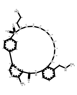 CNCc1cccc2c1OCCOCCOCCN(CCO)S(=O)(=O)c1ccc(cc1)-c1cnc(N)c(n1)C(=O)N2